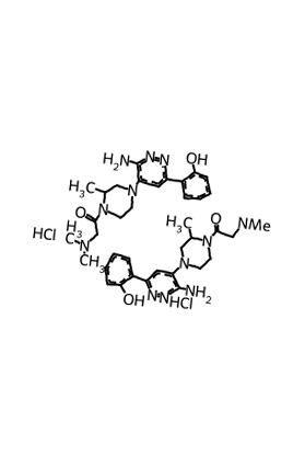 CC1CN(c2cc(-c3ccccc3O)nnc2N)CCN1C(=O)CN(C)C.CNCC(=O)N1CCN(c2cc(-c3ccccc3O)nnc2N)CC1C.Cl.Cl